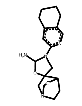 NC1OC2(CN3CCC2CC3)CN1c1cc2c(cn1)CCCC2